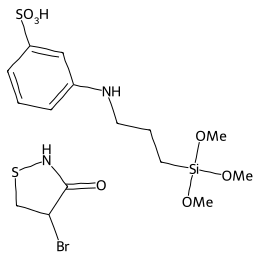 CO[Si](CCCNc1cccc(S(=O)(=O)O)c1)(OC)OC.O=C1NSCC1Br